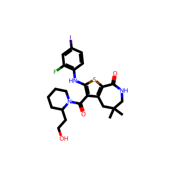 CC1(C)CNC(=O)c2sc(Nc3ccc(I)cc3F)c(C(=O)N3CCCCC3CCO)c2C1